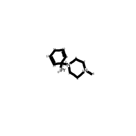 CC(C)C1(N2CCN(C)CC2)C=C[CH]C=C1